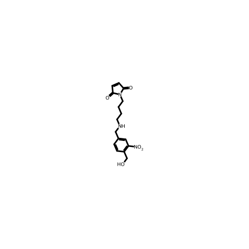 O=C1C=CC(=O)N1CCCCNCc1ccc(CO)c([N+](=O)[O-])c1